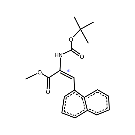 COC(=O)/C(=C\c1cccc2ccccc12)NC(=O)OC(C)(C)C